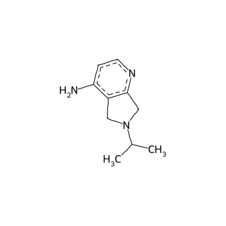 CC(C)N1Cc2nccc(N)c2C1